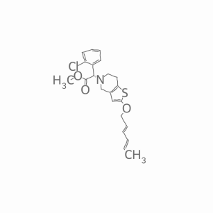 C/C=C/C=C/COc1cc2c(s1)CCN([C@H](C(=O)OC)c1ccccc1Cl)C2